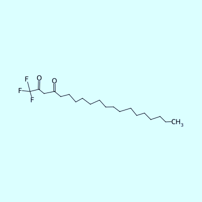 CCCCCCCCCCCCCCCCC(=O)CC(=O)C(F)(F)F